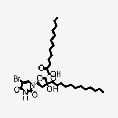 CCCCCCCCCCCC(=O)C(O)[C@H]1O[C@@H](n2cc(Br)c(=O)[nH]c2=O)C[C@@]1(O)C(=O)CCCCCCCCCCC